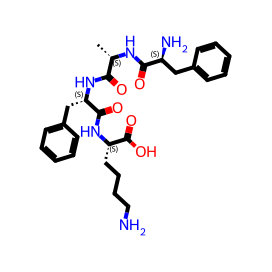 C[C@H](NC(=O)[C@@H](N)Cc1ccccc1)C(=O)N[C@@H](Cc1ccccc1)C(=O)N[C@@H](CCCCN)C(=O)O